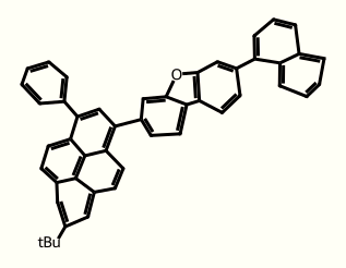 CC(C)(C)c1cc2ccc3c(-c4ccccc4)cc(-c4ccc5c(c4)oc4cc(-c6cccc7ccccc67)ccc45)c4ccc(c1)c2c34